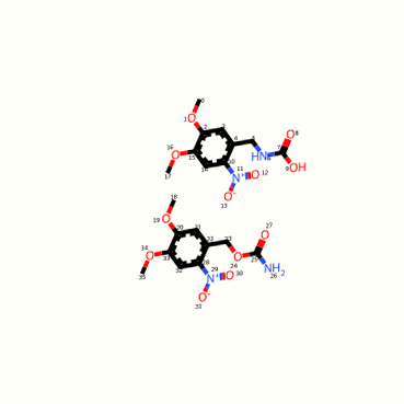 COc1cc(CNC(=O)O)c([N+](=O)[O-])cc1OC.COc1cc(COC(N)=O)c([N+](=O)[O-])cc1OC